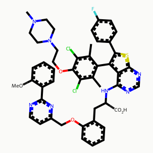 COc1ccccc1-c1nccc(COc2ccccc2CC(Nc2ncnc3sc(-c4ccc(F)cc4)c(-c4c(C)c(Cl)c(OCCN5CCN(C)CC5)c(Cl)c4C)c23)C(=O)O)n1